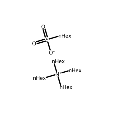 CCCCCCS(=O)(=O)[O-].CCCCCC[N+](CCCCCC)(CCCCCC)CCCCCC